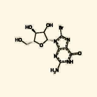 Nc1nc2c(nc(Br)n2[C@@H]2O[C@H](CO)[C@@H](O)C2O)c(=O)[nH]1